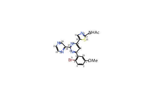 COc1ccc(Br)c(-c2cc(-c3cnc(NC(C)=O)s3)nc(-c3cnccn3)n2)c1